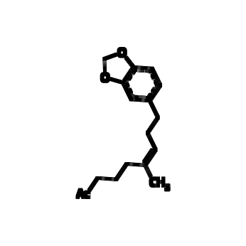 CC(=O)CCCC(C)=CCCc1ccc2c(c1)OCO2